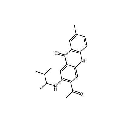 CC(=O)c1cc2[nH]c3ccc(C)cc3c(=O)c2cc1NC(C)C(C)C